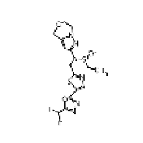 CC[S+]([O-])N(Cc1ncc(-c2nnc(C(F)F)o2)s1)c1cc2n(n1)CCOC2